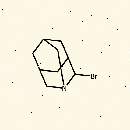 BrC1C2CC3CC(C2)CN1C3